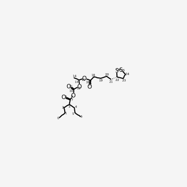 CCCC(CCC)C(=O)OC(=O)OC(C)OC(=O)CCCC[C@H]1CCSS1